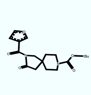 CC(C)(C)OC(=O)N1CCC2(CC1)CC(=O)N(C(=O)c1ccoc1)C2